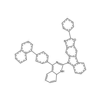 C1=CC2=C(c3ccc(-c4cccc5ccccc45)cc3)N=C(n3c4ccccc4c4cc5oc(-c6ccccc6)nc5cc43)NC2C=C1